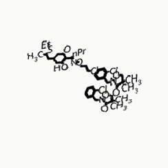 CC1(C)CON(Cc2ccccc2Cl)C1=O.CC1(C)CON(Cc2ccccc2Cl)C1=O.CCC/C(=N\OC/C=C/Cl)C1=C(O)CC(CC(C)SCC)CC1=O